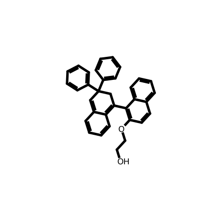 OCCOc1ccc2ccccc2c1C1=c2ccccc2=CC(c2ccccc2)(c2ccccc2)C1